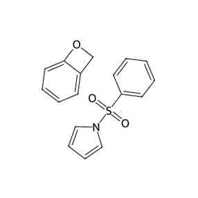 O=S(=O)(c1ccccc1)n1cccc1.c1ccc2c(c1)CO2